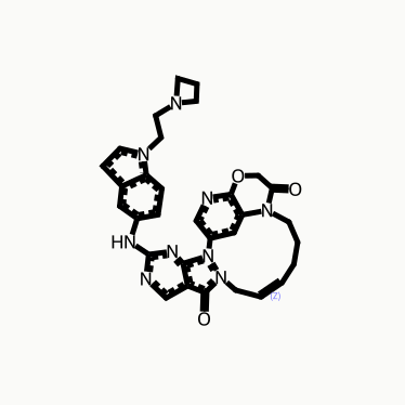 O=C1COc2ncc3cc2N1CCC/C=C\Cn1c(=O)c2cnc(Nc4ccc5c(ccn5CCN5CCC5)c4)nc2n1-3